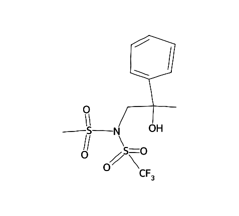 CC(O)(CN(S(C)(=O)=O)S(=O)(=O)C(F)(F)F)c1ccccc1